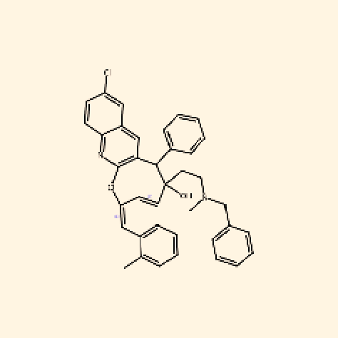 Cc1ccccc1/C=C1\C=C\C(O)(CCN(C)Cc2ccccc2)C(c2ccccc2)c2cc3cc(Cl)ccc3nc2O1